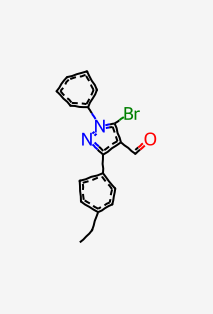 CCc1ccc(-c2nn(-c3ccccc3)c(Br)c2C=O)cc1